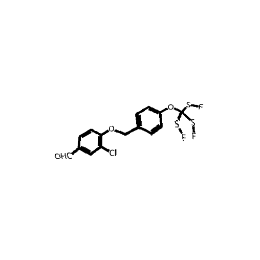 O=Cc1ccc(OCc2ccc(OC(SF)(SF)SF)cc2)c(Cl)c1